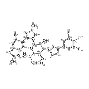 CO[C@H]1C(C(C)O)O[C@@H](c2nc(C)nn2-c2cc3sc(C)nc3cc2Br)C(O)C1n1cc(-c2cc(F)c(F)c(F)c2)cn1